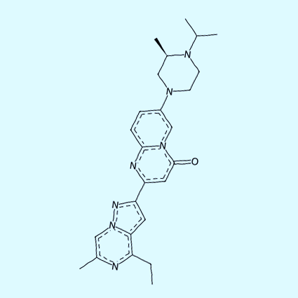 CCc1nc(C)cn2nc(-c3cc(=O)n4cc(N5CCN(C(C)C)[C@H](C)C5)ccc4n3)cc12